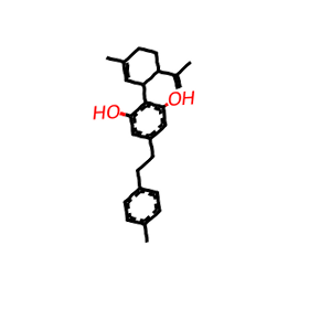 C=C(C)C1CCC(C)=CC1c1c(O)cc(CCc2ccc(C)cc2)cc1O